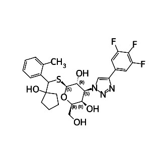 Cc1ccccc1C(S[C@@H]1O[C@H](CO)[C@H](O)[C@H](n2cc(-c3cc(F)c(F)c(F)c3)nn2)[C@H]1O)C1(O)CCCC1